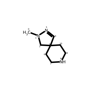 CN1CC2(C=N1)CCNCC2